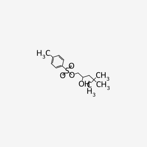 Cc1ccc(S(=O)(=O)OCC(O)CC(C)(C)C)cc1